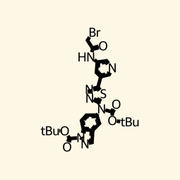 CC(C)(C)OC(=O)N(c1ccc2c(cnn2C(=O)OC(C)(C)C)c1)c1nnc(-c2cncc(NC(=O)CBr)c2)s1